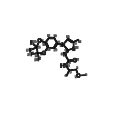 COCC(C)NC(=O)/N=c1\sc(C)cn1-c1ccc2c(c1)OC(F)(F)C(F)(F)O2